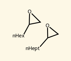 CCCCCCC1CO1.CCCCCCCC1CO1